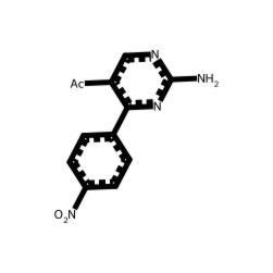 CC(=O)c1cnc(N)nc1-c1ccc([N+](=O)[O-])cc1